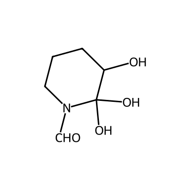 O=CN1CCCC(O)C1(O)O